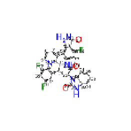 NC(=O)c1cc(-c2cccnc2[C@H](Cc2cc(F)cc(F)c2)NC(=O)CN2C(=O)NC3C=CC=CC32)ccc1F